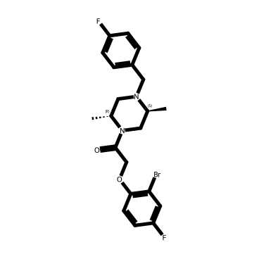 C[C@@H]1CN(Cc2ccc(F)cc2)[C@@H](C)CN1C(=O)COc1ccc(F)cc1Br